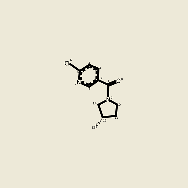 O=C(c1ccc(Cl)nc1)N1CC[C@H](F)C1